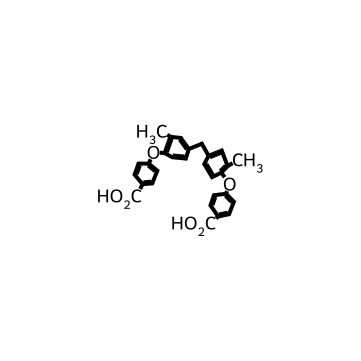 Cc1cc(Cc2ccc(Oc3ccc(C(=O)O)cc3)c(C)c2)ccc1Oc1ccc(C(=O)O)cc1